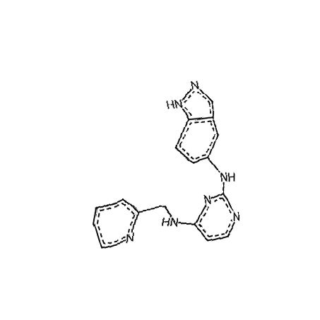 c1ccc(CNc2ccnc(Nc3ccc4[nH]ncc4c3)n2)nc1